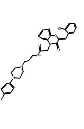 O=C(CN1C(=O)C(=Cc2ccccc2Cl)Sc2ccccc21)NCCCN1CCN(c2ccc(F)cc2)CC1